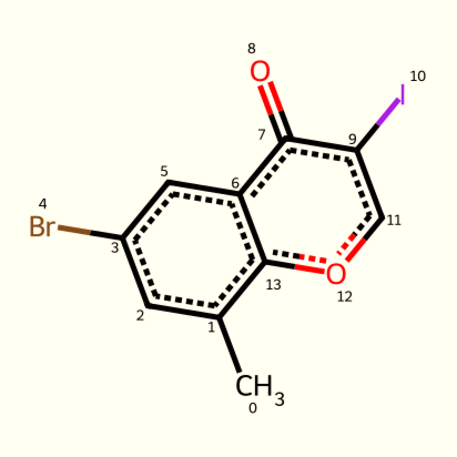 Cc1cc(Br)cc2c(=O)c(I)coc12